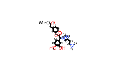 COC(=O)Cc1ccc2c(c1)OC(C(c1ccc(O)c(O)c1)n1cnc(CCN(C)C)c1)O2